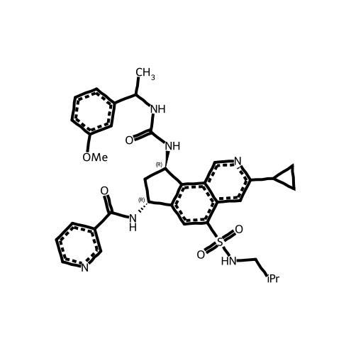 COc1cccc(C(C)NC(=O)N[C@@H]2C[C@@H](NC(=O)c3cccnc3)c3cc(S(=O)(=O)NCC(C)C)c4cc(C5CC5)ncc4c32)c1